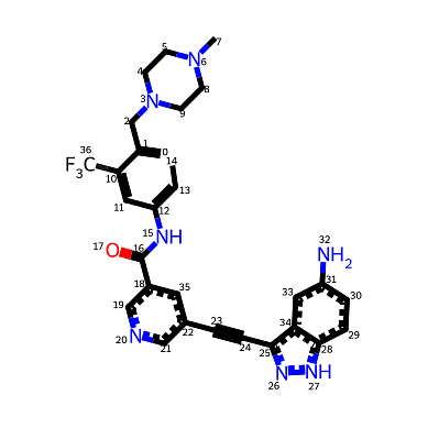 C=C(CN1CCN(C)CC1)/C(=C\C(=C/C)NC(=O)c1cncc(C#Cc2n[nH]c3ccc(N)cc23)c1)C(F)(F)F